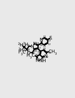 [2H]C([2H])([2H])[C@]1(C(F)(F)F)Cn2nc(-c3ccc(F)cn3)c(-c3cc(C)nc4[nH]nc(C)c34)c2CO1